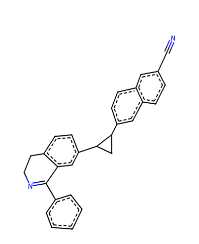 N#Cc1ccc2cc(C3CC3c3ccc4c(c3)C(c3ccccc3)=NCC4)ccc2c1